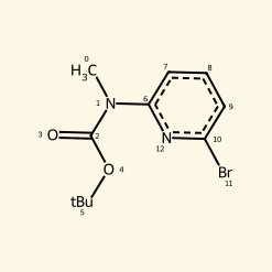 CN(C(=O)OC(C)(C)C)c1cccc(Br)n1